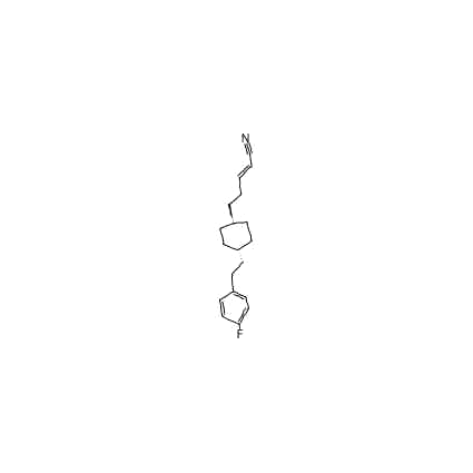 N#C/C=C/CC[C@H]1CC[C@H](CCc2ccc(F)cc2)CC1